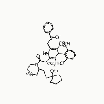 O=C(O)C1=C(CC(=O)N2CCNCC2CCC2(O)CCCC2)NC(C[S+]([O-])c2ccccc2)=C(C(=O)O)C1c1c(Cl)cccc1Cl